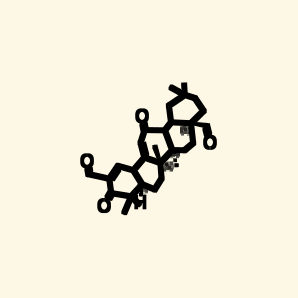 CC1(C)CC[C@]2(C=O)CC[C@]3(C)C(C(=O)C=C4C5C=C(C=O)C(=O)C(C)(C)[C@@H]5CC[C@]43C)C2C1